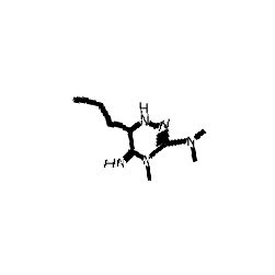 CCCC1NN=C(N(C)C)N(C)C1=N